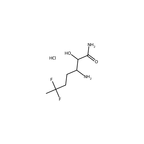 CC(F)(F)CCC(N)C(O)C(N)=O.Cl